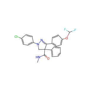 CNC(=O)C1(c2ccccc2)CN(c2ccc(Cl)cc2)N=C1c1ccc(OC(F)F)cc1